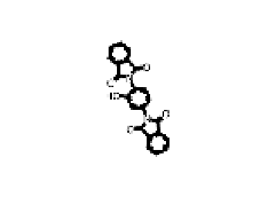 O=C1c2ccccc2C(=O)N1c1ccc(N2C(=O)c3ccccc3C2=O)c(O)c1